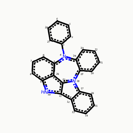 c1ccc(-n2c3cccc4[nH]c5c6ccccc6n(c6ccccc62)c5c43)cc1